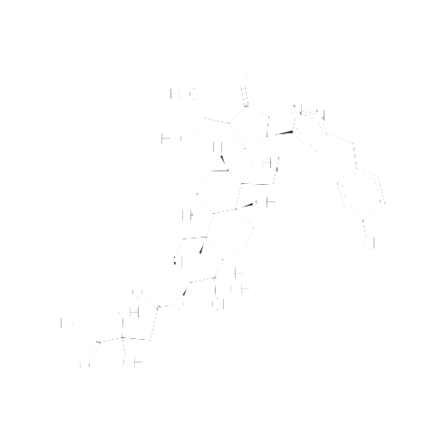 CC(C)C1=C2[C@H]3CC[C@@H]4[C@@]5(C)CC[C@H](OC(=O)CC(C)(C)C(=O)O)C(C)(C)[C@@H]5CC[C@@]4(C)[C@]3(C)CC[C@@]2(c2nnc(Cc3ccc(Cl)cc3)o2)CC1=O